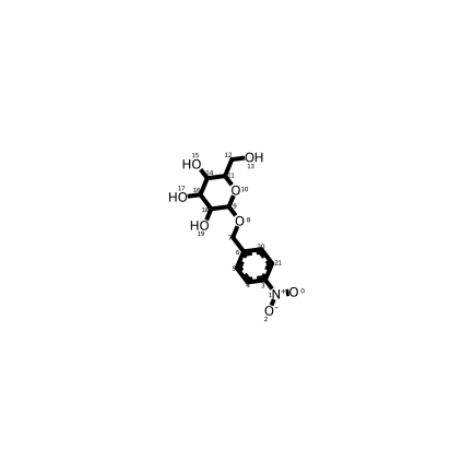 O=[N+]([O-])c1ccc(COC2OC(CO)C(O)C(O)C2O)cc1